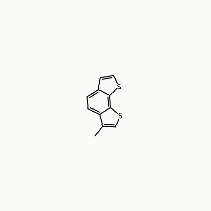 Cc1csc2c1ccc1ccsc12